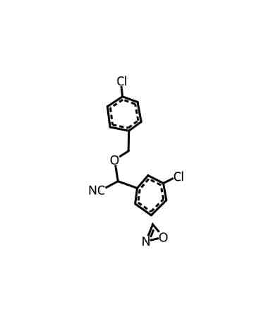 C1=NO1.N#CC(OCc1ccc(Cl)cc1)c1cccc(Cl)c1